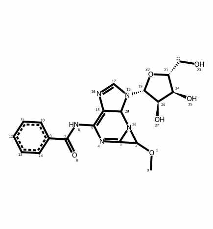 COC1C2=NC(NC(=O)c3ccccc3)=C3N=CN([C@@H]4O[C@H](CO)[C@@H](O)[C@H]4O)C3N21